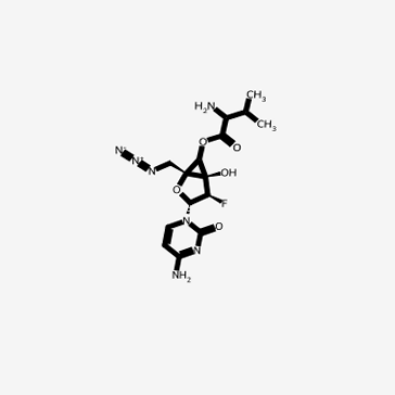 CC(C)C(N)C(=O)OC1[C@@]2(CN=[N+]=[N-])O[C@@H](n3ccc(N)nc3=O)[C@H](F)[C@@]12O